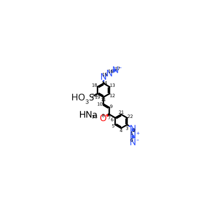 [N-]=[N+]=Nc1ccc(C(=O)C=Cc2ccc(N=[N+]=[N-])cc2S(=O)(=O)O)cc1.[NaH]